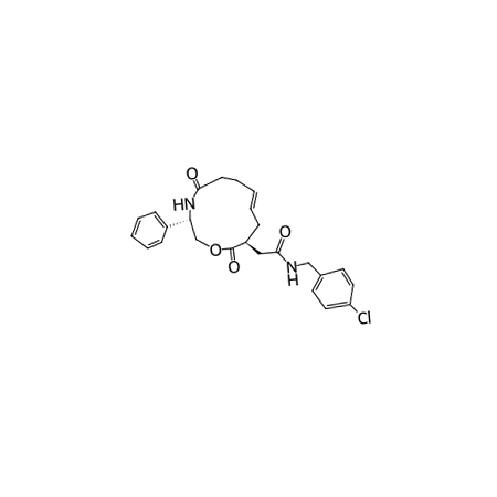 O=C(C[C@@H]1C/C=C/CCC(=O)N[C@@H](c2ccccc2)COC1=O)NCc1ccc(Cl)cc1